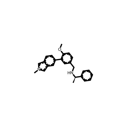 COc1ccc(CN[C@H](C)c2ccccc2)cc1-c1ccc2cn(C)cc2c1